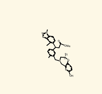 CC[C@H]1CN(Cc2cc(C(CC(=O)OC)c3ccc4c(nnn4C)c3C)ccc2C)Cc2nc(O)ccc2O1